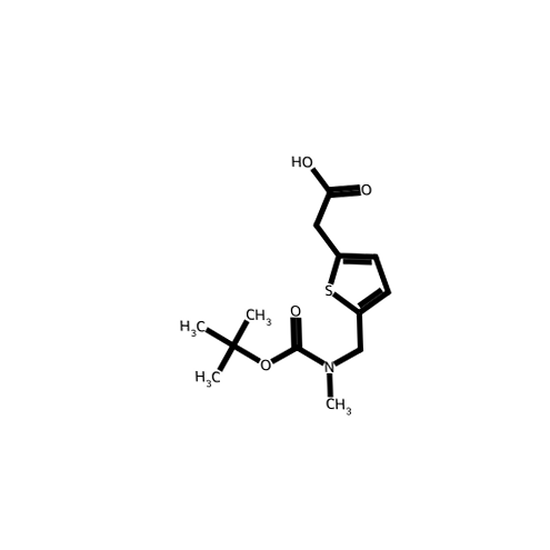 CN(Cc1ccc(CC(=O)O)s1)C(=O)OC(C)(C)C